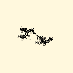 Cc1ncsc1-c1ccc(CNC(=O)[C@@H]2C[C@@H](O)CN2C(=O)C(NC(=O)CCCCCCCCNC(=O)c2ccc(-c3ccc(N4C[C@@H](C)N(C)[C@@H](C)C4)c(NC(=O)c4c[nH]c(=O)cc4C(F)(F)F)c3)c(F)c2)C(C)(C)C)cc1